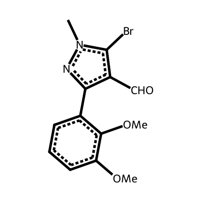 COc1cccc(-c2nn(C)c(Br)c2C=O)c1OC